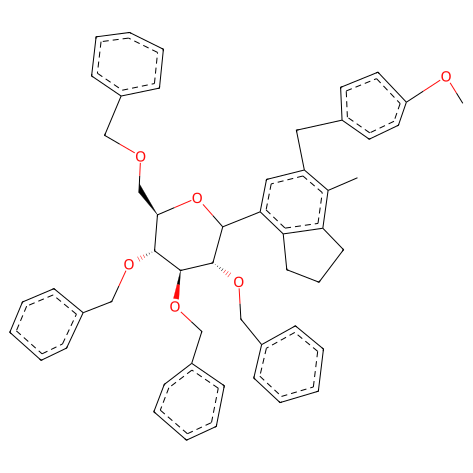 COc1ccc(Cc2cc(C3O[C@H](COCc4ccccc4)[C@@H](OCc4ccccc4)[C@H](OCc4ccccc4)[C@H]3OCc3ccccc3)c3c(c2C)CCC3)cc1